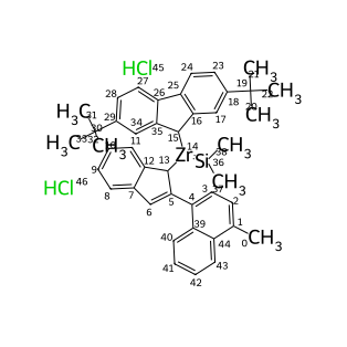 Cc1ccc(C2=Cc3ccccc3[CH]2[Zr]([CH]2c3cc(C(C)(C)C)ccc3-c3ccc(C(C)(C)C)cc32)=[Si](C)C)c2ccccc12.Cl.Cl